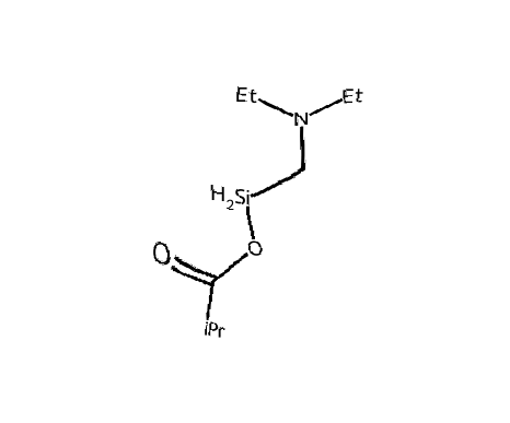 CCN(CC)C[SiH2]OC(=O)C(C)C